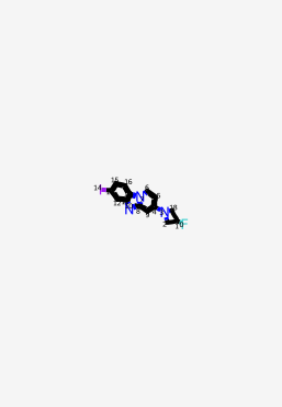 FC1CN(c2ccn3c(c2)nc2cc(I)ccc23)C1